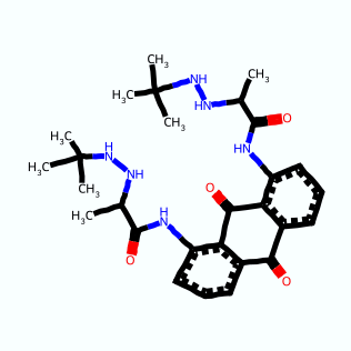 CC(NNC(C)(C)C)C(=O)Nc1cccc2c1C(=O)c1c(NC(=O)C(C)NNC(C)(C)C)cccc1C2=O